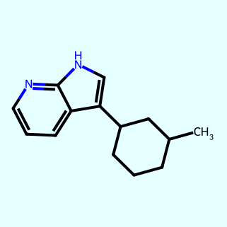 CC1CCCC(c2c[nH]c3ncccc23)C1